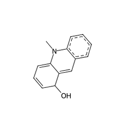 CN1C2=CC=CC(O)C2=Cc2ccccc21